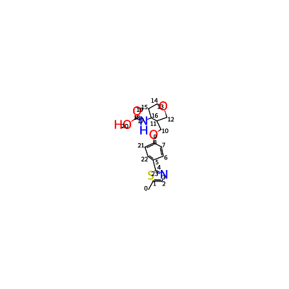 Cc1cnc(-c2ccc(OCC3COCCC3NC(=O)O)cc2)s1